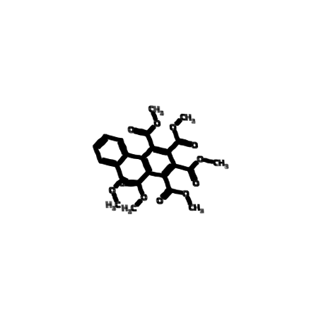 COC(=O)c1ccccc1-c1c(C(=O)OC)c(C(=O)OC)c(C(=O)OC)c(C(=O)OC)c1C(=O)OC